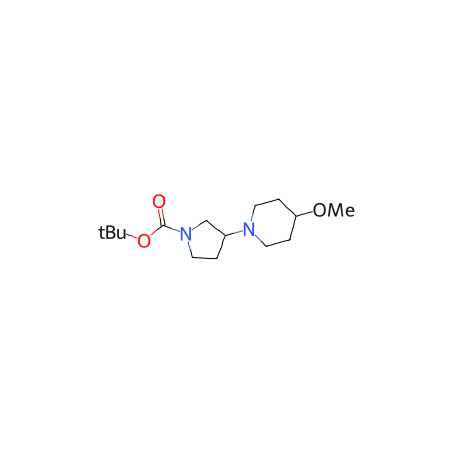 COC1CCN(C2CCN(C(=O)OC(C)(C)C)C2)CC1